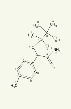 Cc1ccc(C(O[Si](C)(C)C(C)(C)C)C(N)=O)cc1